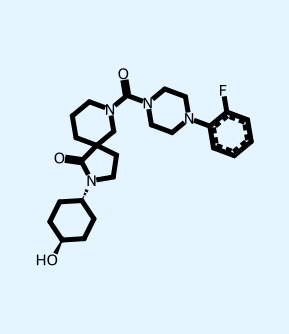 O=C(N1CCN(c2ccccc2F)CC1)N1CCCC2(CCN([C@H]3CC[C@H](O)CC3)C2=O)C1